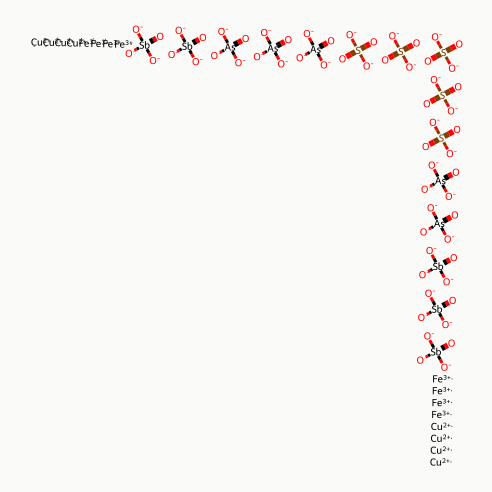 O=S(=O)([O-])[O-].O=S(=O)([O-])[O-].O=S(=O)([O-])[O-].O=S(=O)([O-])[O-].O=S(=O)([O-])[O-].O=[As]([O-])([O-])[O-].O=[As]([O-])([O-])[O-].O=[As]([O-])([O-])[O-].O=[As]([O-])([O-])[O-].O=[As]([O-])([O-])[O-].[Cu+2].[Cu+2].[Cu+2].[Cu+2].[Cu+2].[Cu+2].[Cu+2].[Cu+2].[Fe+3].[Fe+3].[Fe+3].[Fe+3].[Fe+3].[Fe+3].[Fe+3].[Fe+3].[O]=[Sb]([O-])([O-])[O-].[O]=[Sb]([O-])([O-])[O-].[O]=[Sb]([O-])([O-])[O-].[O]=[Sb]([O-])([O-])[O-].[O]=[Sb]([O-])([O-])[O-]